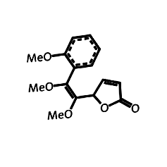 COC(=C(OC)C1C=CC(=O)O1)c1ccccc1OC